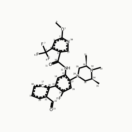 COc1cc(C(F)(F)F)c(C(=O)Nc2cc(-c3ccccc3C=O)c(F)cc2N2C[C@@H](C)N(C)[C@@H](C)C2)cn1